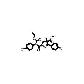 CCOC(=O)N(C(=O)N1CC(C)(C(=O)OC)C(c2ccc(Cl)cc2)=N1)c1ccc(Cl)cc1